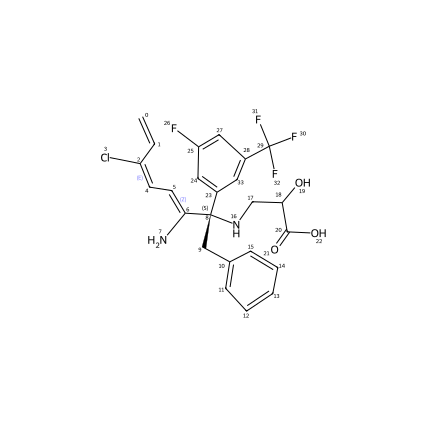 C=C/C(Cl)=C\C=C(/N)[C@@](Cc1ccccc1)(NCC(O)C(=O)O)c1cc(F)cc(C(F)(F)F)c1